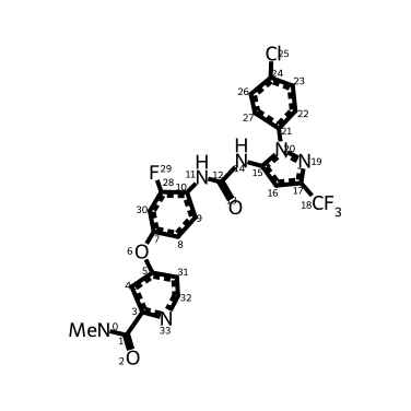 CNC(=O)c1cc(Oc2ccc(NC(=O)Nc3cc(C(F)(F)F)nn3-c3ccc(Cl)cc3)c(F)c2)ccn1